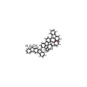 CC1(C)c2ccccc2-c2cc3c4ccccc4n(-c4ccc5c(c4)C4(c6ccccc6Oc6c4oc4ccccc64)c4cc(-n6c7ccccc7c7ccccc76)ccc4-5)c3cc21